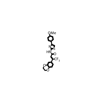 COc1ccc(-c2csc(NC(=O)C=C(c3ccc4c(c3)OCCO4)C(F)(F)F)n2)cc1